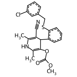 COC(=O)OC1=C(C)NC(C)=C(C#N)C1c1ccccc1SCc1cccc(Cl)c1